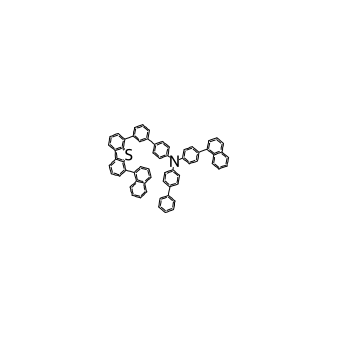 c1ccc(-c2ccc(N(c3ccc(-c4cccc(-c5cccc6c5sc5c(-c7cccc8ccccc78)cccc56)c4)cc3)c3ccc(-c4cccc5ccccc45)cc3)cc2)cc1